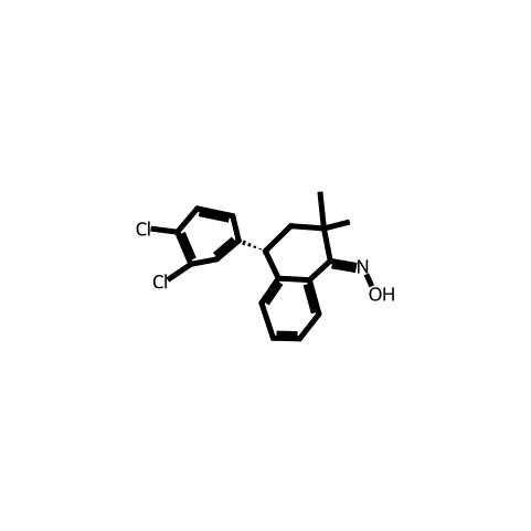 CC1(C)C[C@@H](c2ccc(Cl)c(Cl)c2)c2ccccc2C1=NO